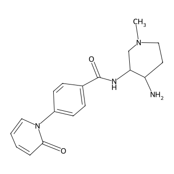 CN1CCC(N)C(NC(=O)c2ccc(-n3ccccc3=O)cc2)C1